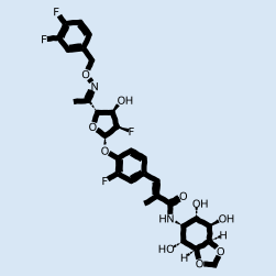 C/C(=C\c1ccc(O[C@@H]2O[C@H](/C(C)=N/OCc3ccc(F)c(F)c3)[C@@H](O)[C@H]2F)c(F)c1)C(=O)N[C@@H]1[C@H](O)[C@@H](O)[C@H]2OCO[C@H]2[C@@H]1O